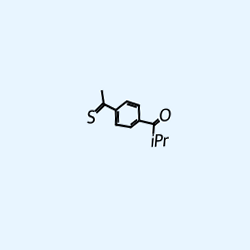 CC(=S)c1ccc(C(=O)C(C)C)cc1